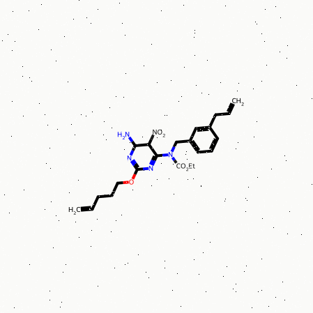 C=CCCCOC1=NC(N)C([N+](=O)[O-])C(N(Cc2cccc(CC=C)c2)C(=O)OCC)=N1